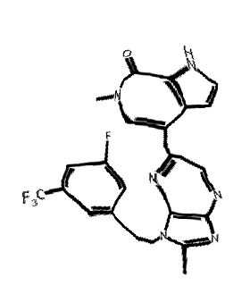 Cc1nc2ncc(-c3cn(C)c(=O)c4[nH]ccc34)nc2n1Cc1cc(F)cc(C(F)(F)F)c1